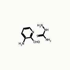 NNC(N)=S.Nc1cccnc1C=O